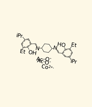 CC(=O)[O-].CC(=O)[O-].CCc1cc(C(C)C)cc(C=NC2CCC(N=Cc3cc(C(C)C)cc(CC)c3O)CC2)c1O.[Co+2]